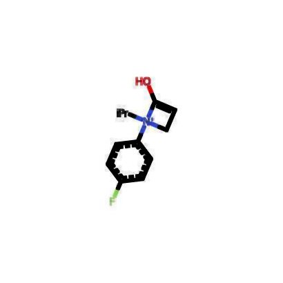 CC(C)[N+]1(c2ccc(F)cc2)CC=C1O